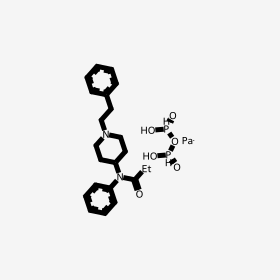 CCC(=O)N(c1ccccc1)C1CCN(CCc2ccccc2)CC1.O=[PH](O)O[PH](=O)O.[Pa]